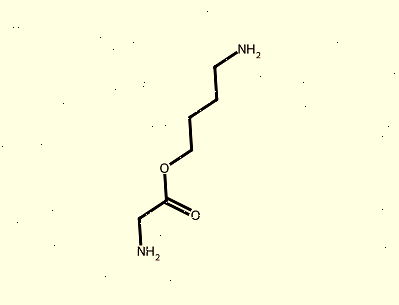 NCCCCOC(=O)CN